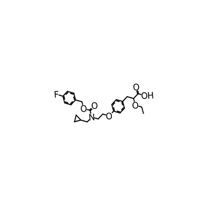 CCOC(Cc1ccc(OCCN(CC2CC2)C(=O)OCc2ccc(F)cc2)cc1)C(=O)O